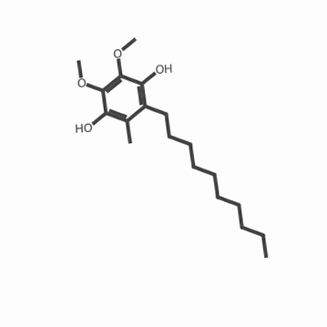 CCCCCCCCCCc1c(C)c(O)c(OC)c(OC)c1O